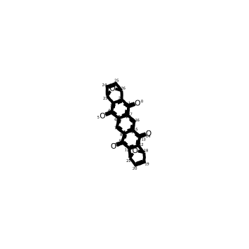 O=c1c2c(c(=O)c3cc4c(=O)c5c(c(=O)c4cc13)C1C=CC5O1)C1C=CC2O1